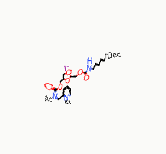 CCCCCCCCCCCCCCCNC(=O)OCC1OCC(COC(=O)N(Cc2cccc[n+]2CC)C(C)=O)O1.[I-]